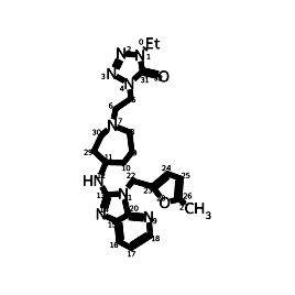 CCn1nnn(CCN2CCCC(Nc3nc4cccnc4n3Cc3ccc(C)o3)CC2)c1=O